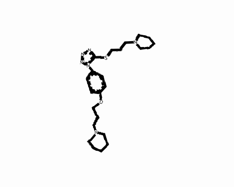 c1cc(-n2nnnc2SCCCN2CCCCC2)ccc1OCCCN1CCCCC1